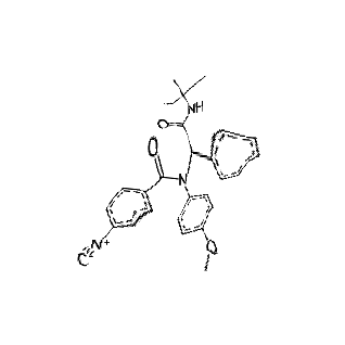 [C-]#[N+]c1ccc(C(=O)N(c2ccc(OC)cc2)C(C(=O)NC(C)(C)C)c2ccccc2)cc1